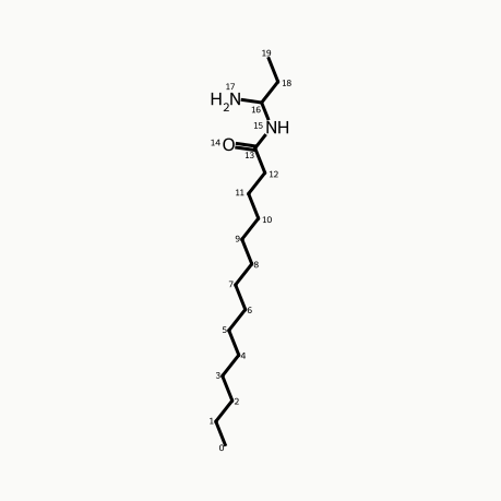 CCCCCCCCCCCCCC(=O)NC(N)CC